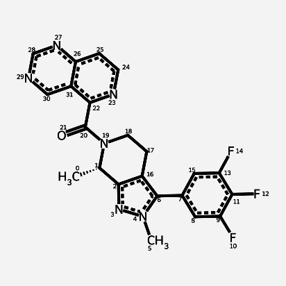 C[C@H]1c2nn(C)c(-c3cc(F)c(F)c(F)c3)c2CCN1C(=O)c1nccc2ncncc12